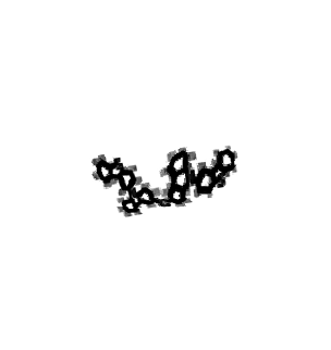 C1=CC2Sc3ccccc3C2C=C1n1c2ccccc2c2cc(Oc3ccc4c(c3)c3ccccc3n4-c3ccc4sc5ccccc5c4c3)ccc21